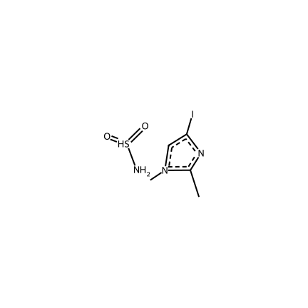 Cc1nc(I)cn1C.N[SH](=O)=O